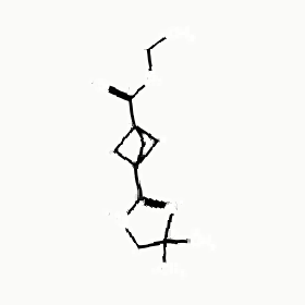 CCOC(=O)C12CC(C3=NC(C)(C)CO3)(C1)C2